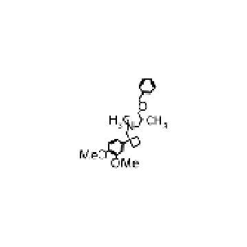 COc1ccc(C2(CN(C)C[C@@H](C)COCc3ccccc3)CCC2)cc1OC